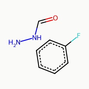 Fc1ccccc1.NNC=O